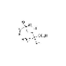 CCOP(=O)(CCC(C)(C(=O)O)C(=O)O)OCC